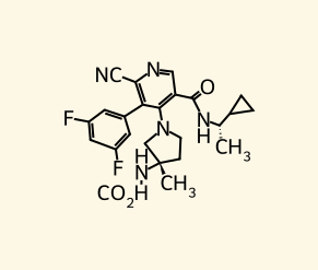 C[C@H](NC(=O)c1cnc(C#N)c(-c2cc(F)cc(F)c2)c1N1CC[C@](C)(NC(=O)O)C1)C1CC1